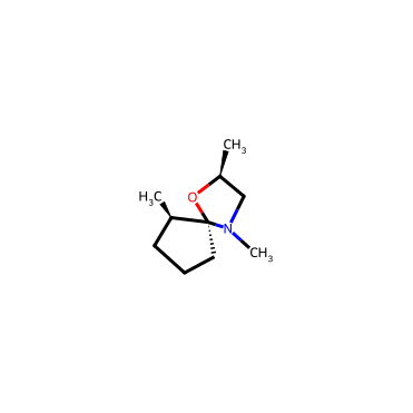 C[C@@H]1CCC[C@@]12O[C@@H](C)CN2C